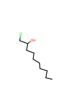 CCCCCCCCC(O)CCl